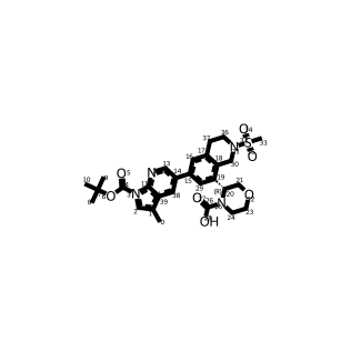 Cc1cn(C(=O)OC(C)(C)C)c2ncc(-c3cc4c(c([C@@H]5COCCN5C(=O)O)c3)CN(S(C)(=O)=O)CC4)cc12